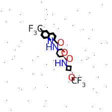 O=C(N[C@H]1CC[C@H](C(=O)N[C@H]2C[C@@H](COC(F)(F)F)C2)OC1)c1ccc2cc(C(F)(F)F)ccc2n1